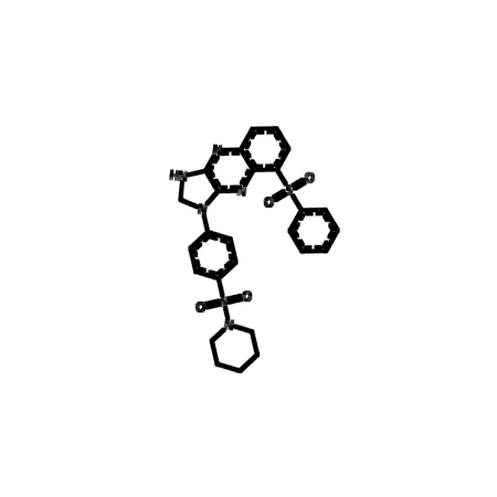 O=S(=O)(c1ccccc1)c1cccc2nc3c(nc12)N(c1ccc(S(=O)(=O)N2CCCCC2)cc1)CN3